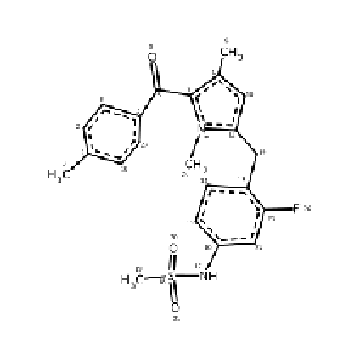 Cc1ccc(C(=O)c2c(C)cc(Cc3ccc(NS(C)(=O)=O)cc3F)n2C)cc1